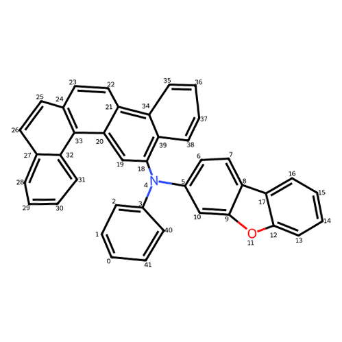 c1ccc(N(c2ccc3c(c2)oc2ccccc23)c2cc3c(ccc4ccc5ccccc5c43)c3ccccc23)cc1